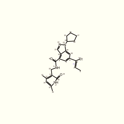 C/C=C(\CC)c1cc(C(=O)NCc2c(C)cc(C)[nH]c2=O)c2cnn(C3CCCC3)c2c1